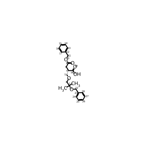 CC(C)(COC[C@H](CC(=O)OCc1ccccc1)C(=O)O)OCc1ccccc1